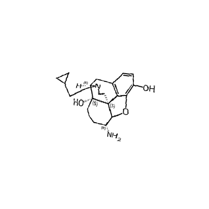 N[C@@H]1CC[C@@]2(O)[C@H]3Cc4ccc(O)c5c4[C@@]2(CCN3CC2CC2)C1O5